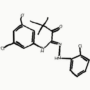 CC(C)(C)C(=O)/C(=N/Nc1ccccc1Cl)Nc1cc(Cl)cc(Cl)c1